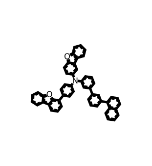 c1cc(-c2cccc(N(c3ccc(-c4cccc5c4oc4ccccc45)cc3)c3ccc4oc5ccccc5c4c3)c2)cc(-c2cccc3ccccc23)c1